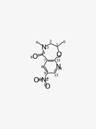 CC1CN(C)C(=O)c2cc([N+](=O)[O-])cnc2O1